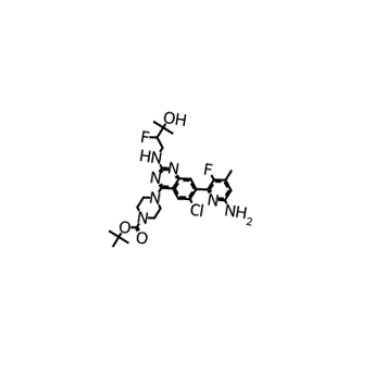 Cc1cc(N)nc(-c2cc3nc(NCC(F)C(C)(C)O)nc(N4CCN(C(=O)OC(C)(C)C)CC4)c3cc2Cl)c1F